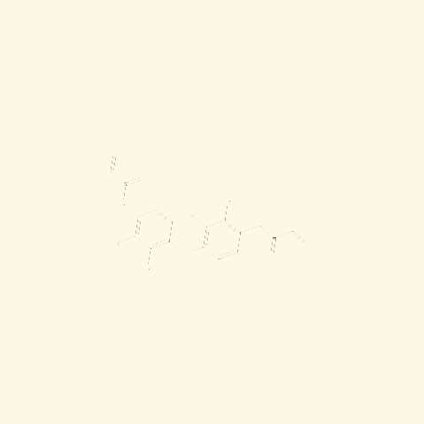 C=CC(=O)Nc1ccc(Oc2ccc(NC(=O)C=C)c([N+](=O)[O-])c2[N+](=O)[O-])c([N+](=O)[O-])c1[N+](=O)[O-]